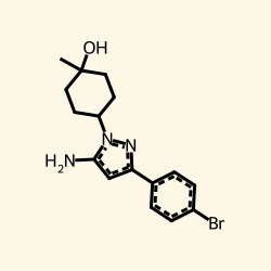 CC1(O)CCC(n2nc(-c3ccc(Br)cc3)cc2N)CC1